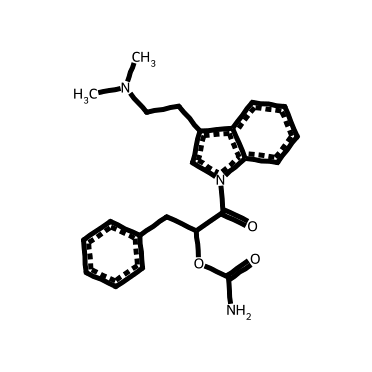 CN(C)CCc1cn(C(=O)C(Cc2ccccc2)OC(N)=O)c2ccccc12